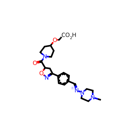 CN1CCN(/N=C/c2ccc(C3=NOC(C(=O)N4CCC(OCC(=O)O)CC4)C3)cc2)CC1